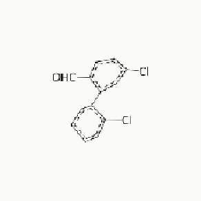 O=Cc1ccc(Cl)cc1-c1ccccc1Cl